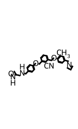 Cc1cc(CN2CCC2)ccc1OCc1cccc(COc2ccc(CNCC3CON3)cc2)c1C#N